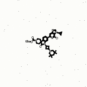 CC1(C)CN(C2CC(N3C(=O)C4(CCN(C(=O)OC(C)(C)C)CC4)c4ccc(-c5cc6ncn(C7CC7)c6c(Cl)n5)cc43)C2)CC(C)(C)C1